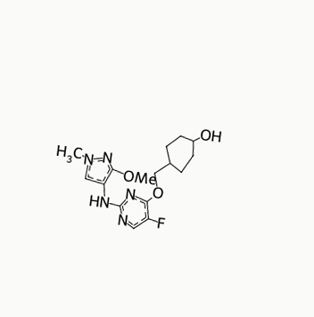 COc1nn(C)cc1Nc1ncc(F)c(OCC2CCC(O)CC2)n1